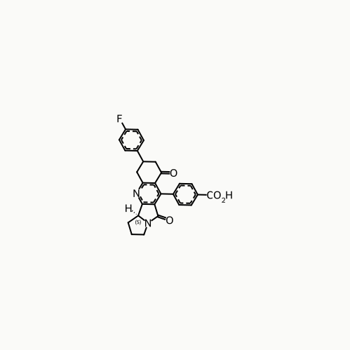 O=C(O)c1ccc(-c2c3c(nc4c2C(=O)N2CCC[C@@H]42)CC(c2ccc(F)cc2)CC3=O)cc1